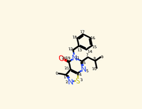 Cc1nsc2nc(CC(C)C)n(Cc3ccccc3)c(=O)c12